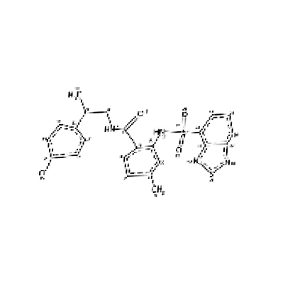 Cc1ccc(C(=O)NCC(C)c2ccc(Cl)cc2)c(NS(=O)(=O)c2cccc3nsnc23)c1